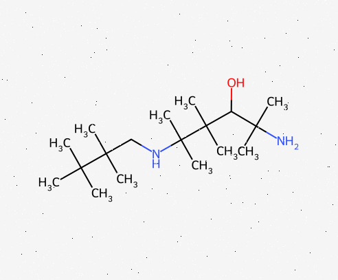 CC(C)(N)C(O)C(C)(C)C(C)(C)NCC(C)(C)C(C)(C)C